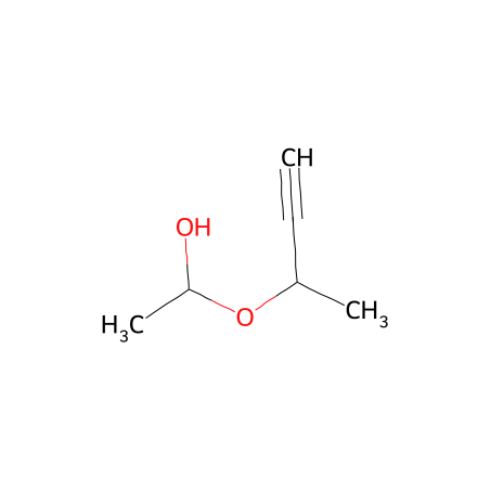 C#CC(C)OC(C)O